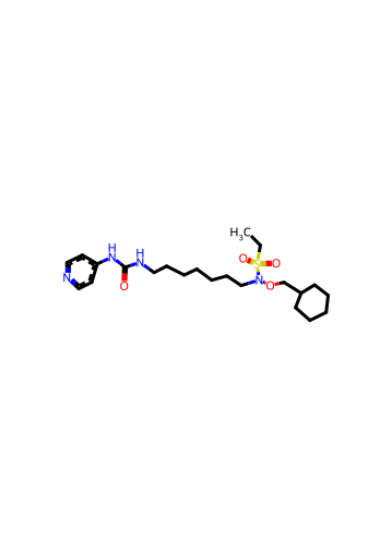 CCS(=O)(=O)N(CCCCCCCNC(=O)Nc1ccncc1)OCC1CCCCC1